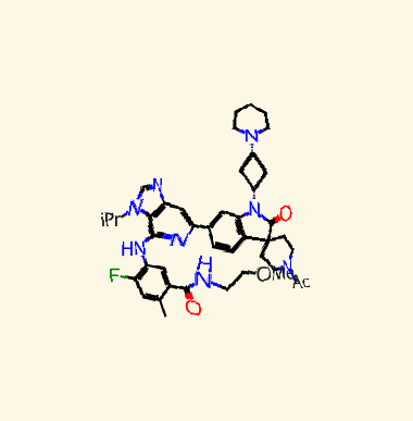 COCCNC(=O)c1cc(Nc2nc(-c3ccc4c(c3)N([C@H]3C[C@@H](N5CCCCC5)C3)C(=O)C43CCN(C(C)=O)CC3)cc3ncn(C(C)C)c23)c(F)cc1C